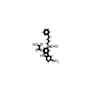 NC1CCc2[nH]c3ccc(N(C=O)CCCCc4ccccc4)cc3c2C1.O=C(O)C(=O)O